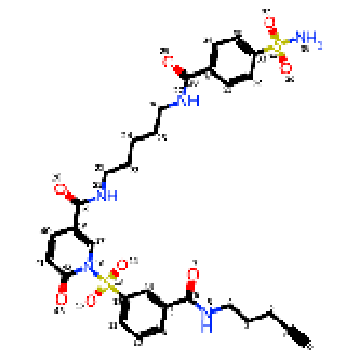 C#CCCCNC(=O)c1cccc(S(=O)(=O)n2cc(C(=O)NCCCCCNC(=O)c3ccc(S(N)(=O)=O)cc3)ccc2=O)c1